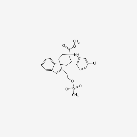 COC(=O)C1(Nc2cccc(Cl)c2)CCC2(CC1)C(CCOS(C)(=O)=O)=Cc1ccccc12